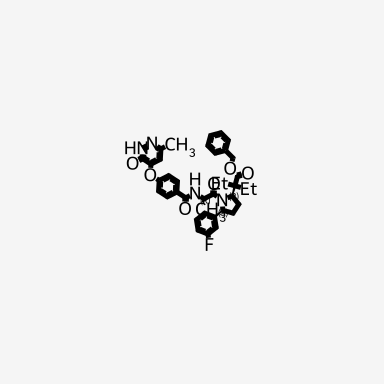 CCC(CC)(C(=O)OCc1ccccc1)[C@H]1CC[C@@H](c2cccc(F)c2)N1C(=O)[C@@H](C)NC(=O)c1ccc(Oc2cc(C)n[nH]c2=O)cc1